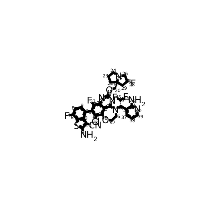 N#Cc1c(N)sc2c(F)ccc(-c3c(Cl)c4c5c(nc(OC[C@@]67CCCN6C[C@H](F)C7)nc5c3F)N([C@@H](c3cccnc3N)C(F)F)CCO4)c12